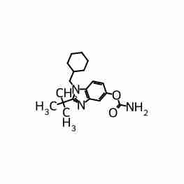 CC(C)(C)c1nc2cc(OC(N)=O)ccc2n1CC1CCCCC1